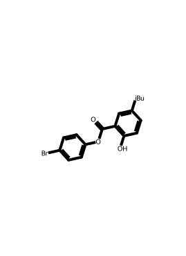 CCC(C)c1ccc(O)c(C(=O)Oc2ccc(Br)cc2)c1